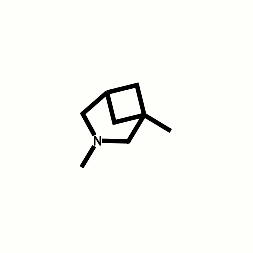 CN1CC2CC(C)(C2)C1